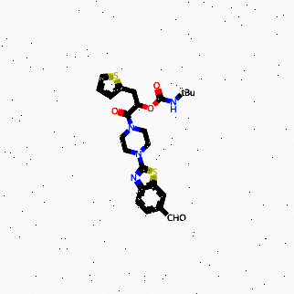 CC(C)(C)NC(=O)OC(Cc1cccs1)C(=O)N1CCN(c2nc3ccc(C=O)cc3s2)CC1